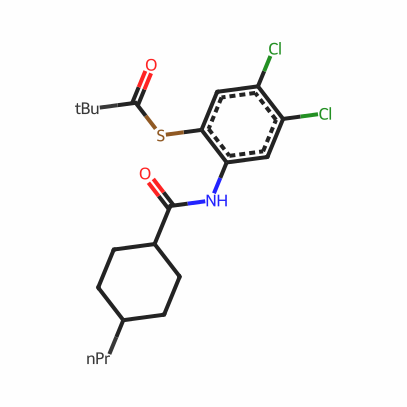 CCCC1CCC(C(=O)Nc2cc(Cl)c(Cl)cc2SC(=O)C(C)(C)C)CC1